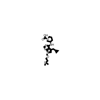 C[Si](C)(C)CCOCn1cc(CC2CC2)c2c(N[C@@H]3CCCN(C(=O)O)C3)ncnc21